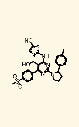 Cc1ccc(C2CCCN2c2nc(Nc3ncc(C#N)s3)c(CO)c(-c3ccc(S(C)(=O)=O)cc3)n2)cc1